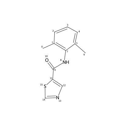 Cc1cccc(C)c1NC(=O)c1cncs1